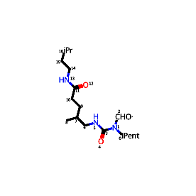 CCCC(C)N([C]=O)C(=O)NCC(C)CCC(=O)NCCC(C)C